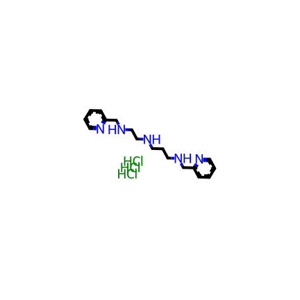 Cl.Cl.Cl.c1ccc(CNCCCNCCNCc2ccccn2)nc1